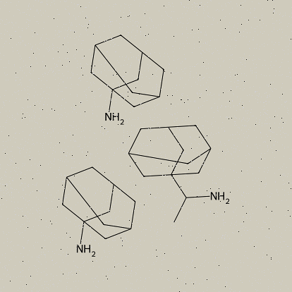 CC(N)C12CC3CC(CC(C3)C1)C2.NC12CC3CC(CC(C3)C1)C2.NC12CC3CC(CC(C3)C1)C2